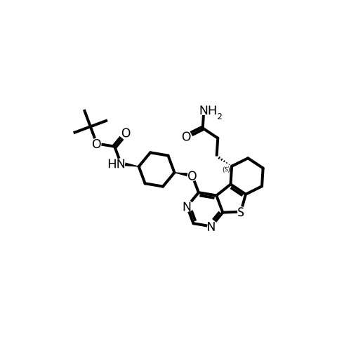 CC(C)(C)OC(=O)N[C@H]1CC[C@@H](Oc2ncnc3sc4c(c23)[C@H](CCC(N)=O)CCC4)CC1